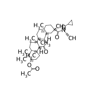 C#CN(OC1CC1)C(=O)[C@@]1(C)CC[C@]2(C)CC[C@]3(C)C(=CC(=O)[C@@H]4[C@@]5(C)CC[C@H](OC(C)=O)C(C)(C)C5CC[C@]43C)[C@@H]2C1